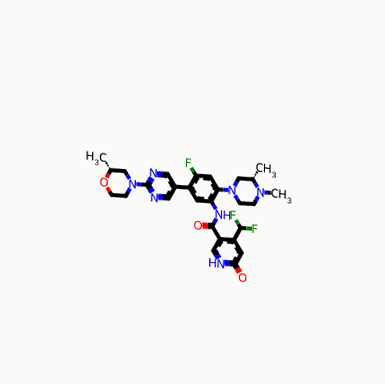 C[C@@H]1CN(c2ncc(-c3cc(NC(=O)c4c[nH]c(=O)cc4C(F)F)c(N4CCN(C)[C@@H](C)C4)cc3F)cn2)CCO1